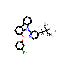 [2H]C([2H])(c1ccnc(-n2c3ccccc3c3cccc(Oc4cccc(Br)c4)c32)c1)C(C)(C)C